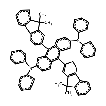 CC1(C)C2=C(CCC(c3c4cc(N(c5ccccc5)c5ccccc5)ccc4c(-c4ccc5c(c4)C(C)(C)c4ccccc4-5)c4cc(N(c5ccccc5)c5ccccc5)ccc34)=C2)c2ccccc21